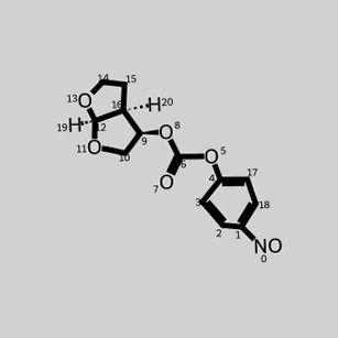 O=Nc1ccc(OC(=O)O[C@H]2CO[C@H]3OCC[C@H]32)cc1